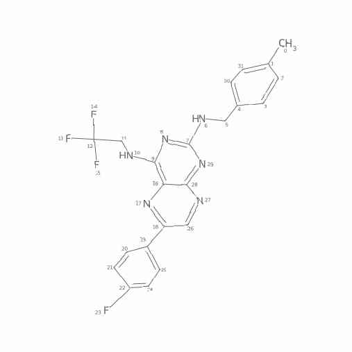 Cc1ccc(CNc2nc(NCC(F)(F)F)c3nc(-c4ccc(F)cc4)cnc3n2)cc1